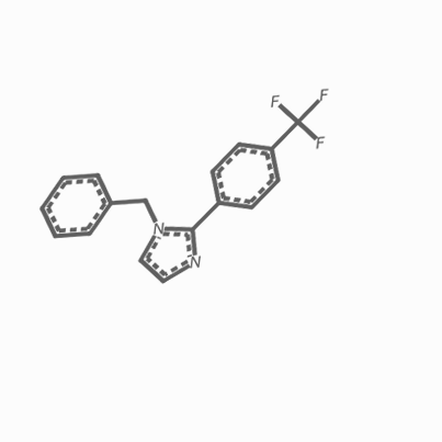 FC(F)(F)c1ccc(-c2nccn2Cc2ccccc2)cc1